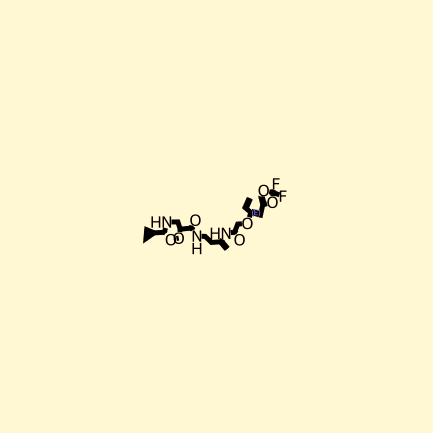 C=C/C(=C\C1=COC(F)(F)O1)OCC(=O)NC(=C)CCNC(=O)C1CNC(C2CC2)OO1